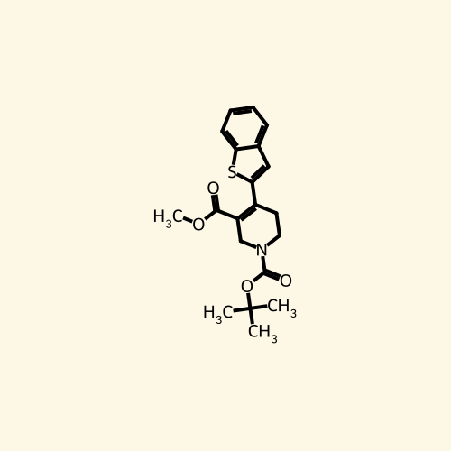 COC(=O)C1=C(c2cc3ccccc3s2)CCN(C(=O)OC(C)(C)C)C1